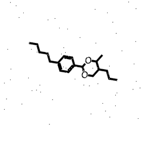 CCCCCc1ccc(C2OCC(CCC)C(C)O2)cc1